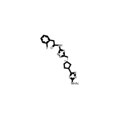 CC(=O)Nc1nnc(C2CC[C@H](Cc3nnc(NC(=O)Cc4ccccc4F)s3)C2)s1